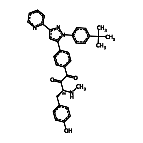 CN[C@@H](Cc1ccc(O)cc1)C(=O)C(=O)c1ccc(-c2cc(-c3ccccn3)nn2-c2ccc(C(C)(C)C)cc2)cc1